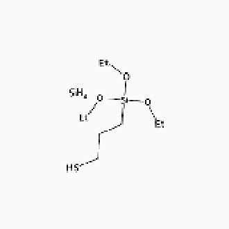 CCO[Si](CCCS)(OCC)OCC.[SiH4]